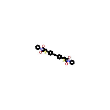 O=C1c2cc(-c3ccc(C#Cc4ccc(-c5cc6c(s5)C(=O)N(C5CCCCC5)C6=O)cc4)cc3)sc2C(=O)N1C1CCCCC1